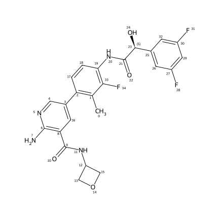 Cc1c(-c2cnc(N)c(C(=O)NC3COC3)c2)ccc(NC(=O)[C@@H](O)c2cc(F)cc(F)c2)c1F